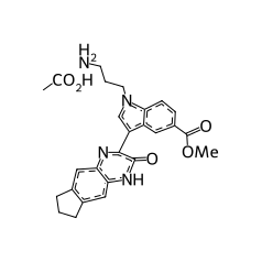 CC(=O)O.COC(=O)c1ccc2c(c1)c(-c1nc3cc4c(cc3[nH]c1=O)CCC4)cn2CCCN